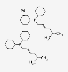 CC(C)CC=CCP(C1CCCCC1)C1CCCCC1.CC(C)CC=CCP(C1CCCCC1)C1CCCCC1.[Pd]